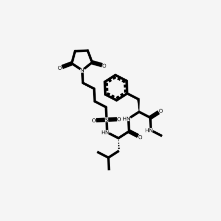 CNC(=O)[C@H](Cc1ccccc1)NC(=O)[C@H](CC(C)C)NS(=O)(=O)CCCCN1C(=O)CCC1=O